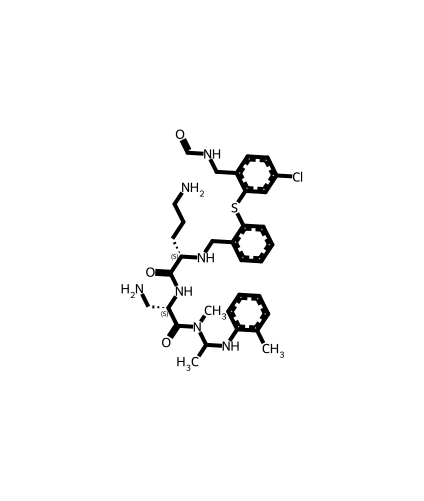 Cc1ccccc1NC(C)N(C)C(=O)[C@H](CN)NC(=O)[C@H](CCCN)NCc1ccccc1Sc1cc(Cl)ccc1CNC=O